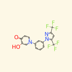 O=c1ccn(-c2cccc(-n3nc(C(F)(F)F)cc3C(F)(F)F)c2)cc1O